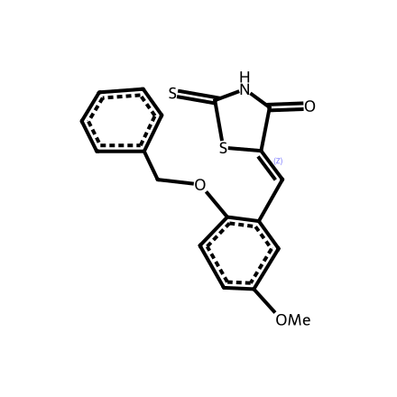 COc1ccc(OCc2ccccc2)c(/C=C2\SC(=S)NC2=O)c1